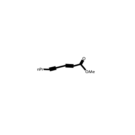 CCCC#CC#CC(=O)OC